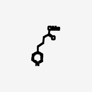 COC(=O)CCCc1ccncc1